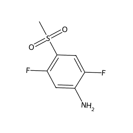 CS(=O)(=O)c1cc(F)c(N)cc1F